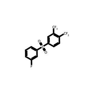 O=S(=O)(c1cccc(F)c1)c1ccc(C(F)(F)F)c(C(F)(F)F)c1